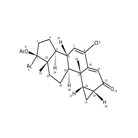 CC(=O)O[C@@]1(C(C)=O)CC[C@H]2[C@@H]3C=C(Cl)C4=CC(=O)[C@@H]5C[C@@H]5[C@]4(C)[C@H]3CC[C@@]21C